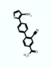 CC(=O)c1ccc(-c2ccc(-c3sccc3N)cc2)c(C#N)c1